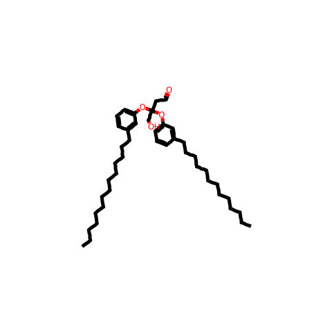 CCCCCCCCCCCCCCc1cccc(OC(CO)(CC=O)Oc2cccc(CCCCCCCCCCCCC)c2)c1